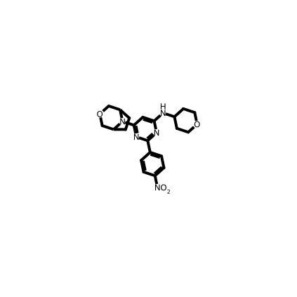 O=[N+]([O-])c1ccc(-c2nc(NC3CCOCC3)cc(N3C4CCC3COC4)n2)cc1